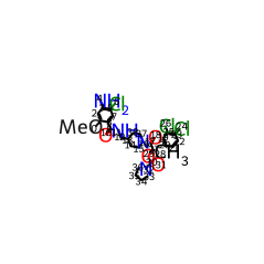 COc1cc(N)c(Cl)cc1C(=O)NCC1CCN(C(Oc2cccc(Cl)c2Cl)C(C)OC(=O)N2CCCC2)CC1